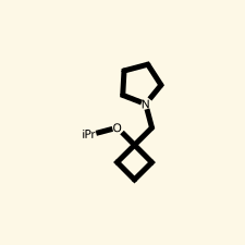 CC(C)OC1(CN2CCCC2)CCC1